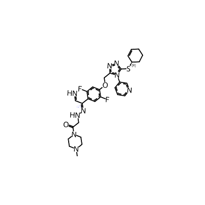 CN1CCN(C(=O)CN/N=C(\C=N)c2cc(F)c(OCc3nnc(S[C@H]4C=CCCC4)n3-c3cccnc3)cc2F)CC1